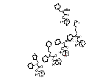 C=CCCCN(C(=O)O[C@H]1CN2CCC1CC2)c1ccccc1.CCCCCN(C(=O)O[C@H]1CN2CCC1CC2)c1ccccc1.CCCCN(Cc1cccs1)C(=O)O[C@H]1CN2CCC1CC2.O=C(O[C@H]1CN2CCC1CC2)N(CCc1ccccc1)c1ccccc1.O=C(O[C@H]1CN2CCC1CC2)N(Cc1ccsc1)c1ccccc1